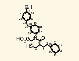 O=C(O)CN(C(=O)C(CS)CCc1ccccc1)c1cccc(Cc2ccc(O)cc2)c1